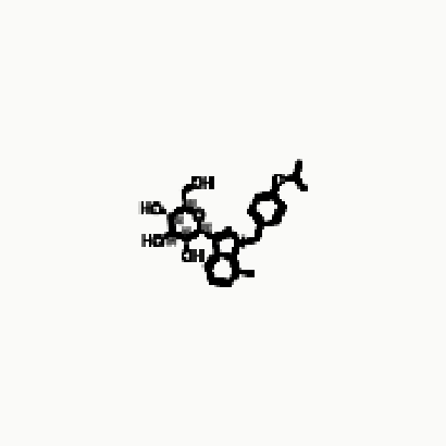 Cc1cccc2c([C@@H]3O[C@H](CO)[C@@H](O)[C@H](O)[C@H]3O)cn(Cc3ccc(OC(C)C)cc3)c12